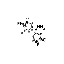 CCN1[C@H](C)C[C@H](C(N)c2ccc(F)c(Cl)c2)C[C@@H]1C